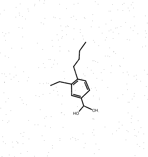 CCCCc1ccc(C(O)O)cc1CC